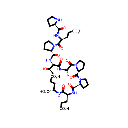 C[C@H](NC(=O)[C@@H](NC(=O)[C@@H]1CCCN1C(=O)[C@H](CCC(=O)O)NC(=O)[C@@H]1CCCN1)[C@@H](C)O)C(=O)N1CCC[C@H]1C(=O)N1CCC[C@H]1C(=O)N[C@@H](CCC(=O)O)C(=O)N[C@@H](CCC(=O)O)C(=O)O